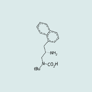 CC(C)(C)N(C[C@@H](N)Cc1cccc2ccccc12)C(=O)O